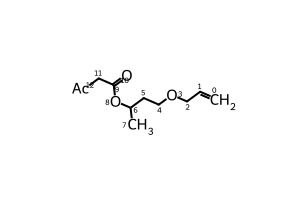 C=CCOCCC(C)OC(=O)CC(C)=O